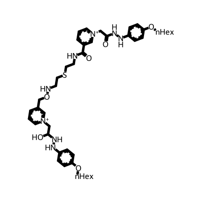 CCCCCCOc1ccc(NNC(=O)C[n+]2cccc(C(=O)NCCSCCNOCc3ccc[n+](CC(O)NNc4ccc(OCCCCCC)cc4)c3)c2)cc1